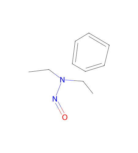 CCN(CC)N=O.c1ccccc1